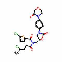 CC(Cl)CCC(=O)N(C[C@H]1CN(c2ccc(N3CCOCC3=O)cc2)C(=O)O1)C(=O)c1ccc(Cl)s1